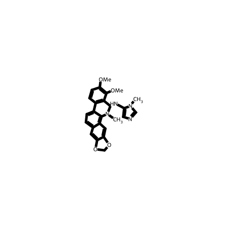 COc1ccc2c(c1OC)C(Nc1cncn1C)N(C)c1c-2ccc2cc3c(cc12)OCO3